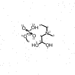 CCN(C)CC(O)O.COS(=O)(=O)O